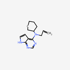 C=CCN(c1ncnc2[nH]ccc12)C1CCCCC1